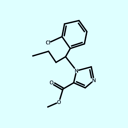 CCCC(c1ccccc1Cl)n1cncc1C(=O)OC